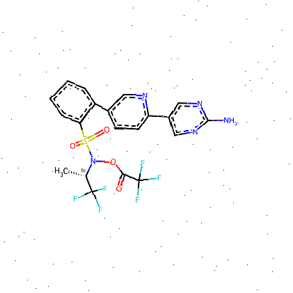 C[C@H](N(OC(=O)C(F)(F)F)S(=O)(=O)c1ccccc1-c1ccc(-c2cnc(N)nc2)nc1)C(F)(F)F